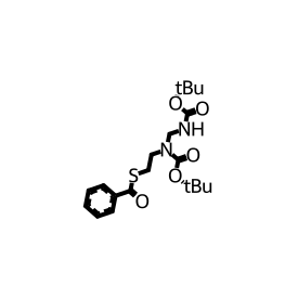 CC(C)(C)OC(=O)NCN(CCSC(=O)c1ccccc1)C(=O)OC(C)(C)C